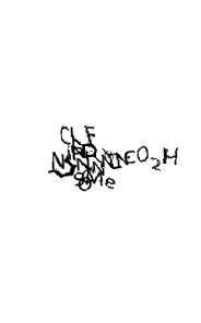 CSc1cc(C)nc(C(C)C)c1N1C(=C=O)N=C(N2CCN(C(=O)O)C[C@@H]2C)c2cc(F)c(Cl)nc21